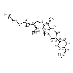 C=CCCCOc1ccc([C@@H](O)C2CCC(C3CCC(C=C)CC3)CC2)c(F)c1F